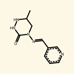 CC1CN(N=Cc2cccnc2)C(=O)NN1